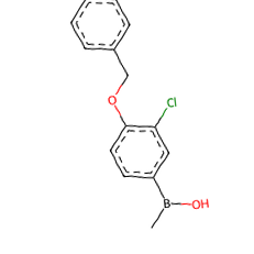 CB(O)c1ccc(OCc2ccccc2)c(Cl)c1